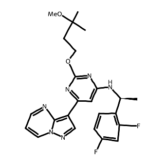 COC(C)(C)CCOc1nc(N[C@@H](C)c2ccc(F)cc2F)cc(-c2cnn3cccnc23)n1